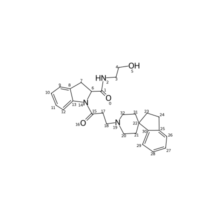 O=C(NCCO)C1Cc2ccccc2N1C(=O)CCN1CCC2(CCc3ccccc32)CC1